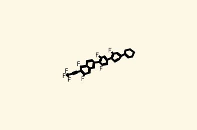 Fc1cc(C2=CCCCC2)ccc1-c1cc(F)c(-c2ccc3c(F)c(C#CC(F)(F)F)c(F)cc3c2)c(F)c1